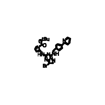 CC(C)(C)OC(=O)N1CCC[C@H]1CNc1nc(NCc2ccc(-c3ccccn3)cc2)n2ncc(Br)c2n1